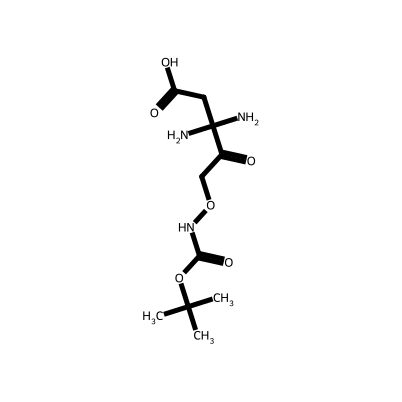 CC(C)(C)OC(=O)NOCC(=O)C(N)(N)CC(=O)O